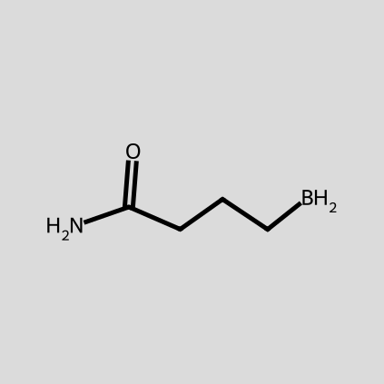 BCCCC(N)=O